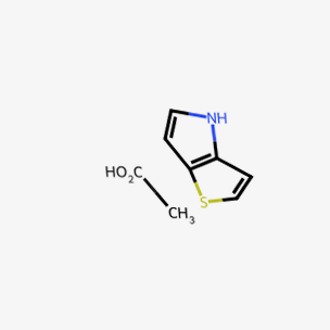 CC(=O)O.c1cc2sccc2[nH]1